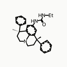 CCNC(=O)Nc1cc2c3c(c1)[C@](C)(c1ccccc1)CCN3CC[C@@]2(C)c1ccccc1